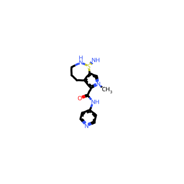 Cn1cc2c(c1C(=O)Nc1ccncc1)CCCNS2=N